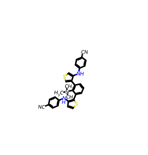 C[Si](C)(C)c1c(-c2cscc2Nc2ccc(C#N)cc2)cccc1-c1sccc1Nc1ccc(C#N)cc1